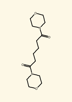 O=C(CCCCC(=O)N1CCOCC1)N1CCOCC1